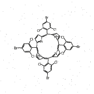 Clc1cc(Br)cc(Cl)c1-c1c2nc(c(-c3c(Cl)cc(Br)cc3Cl)c3ccc([nH]3)c(-c3c(Cl)cc(Br)cc3Cl)c3nc(c(-c4c(Cl)cc(Br)cc4Cl)c4ccc1[nH]4)C=C3)C=C2